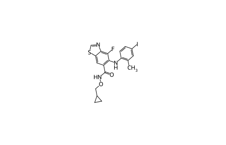 Cc1cc(I)ccc1Nc1c(C(=O)NOCC2CC2)cc2scnc2c1F